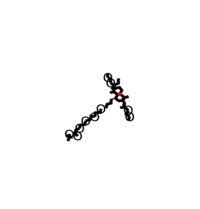 CCC(OCOC)C1(C)CCC2C(C)=C(/C=C(\C)OCOC)C[C@@H](CCCCOCCOCCOCCOCC(=O)OC(C)(C)C)C2C1C